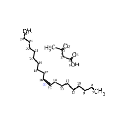 CC(=O)CC(=O)O.CCCCCCCC/C=C\CCCCCCCCO